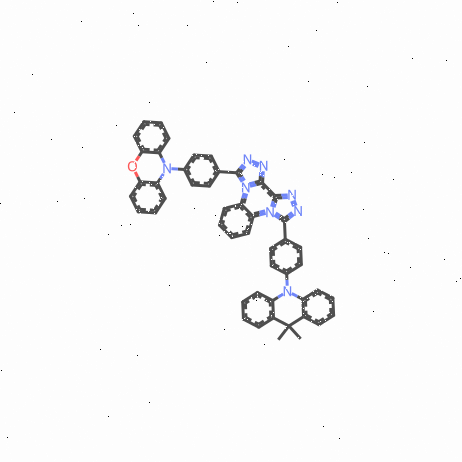 CC1(C)c2ccccc2N(c2ccc(-c3nnc4c5nnc(-c6ccc(N7c8ccccc8Oc8ccccc87)cc6)n5c5ccccc5n34)cc2)c2ccccc21